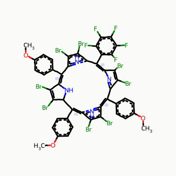 COc1ccc(/C2=C3/NC(C(Br)=C3Br)/C(c3ccc(OC)cc3)=c3\[nH]/c(c(Br)c3Br)=C(/c3ccc(OC)cc3)C3=N/C(=C(/c4c(F)c(F)c(F)c(F)c4F)c4[nH]c2c(Br)c4Br)C(Br)=C3Br)cc1